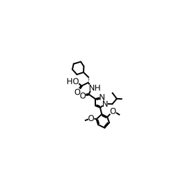 COc1cccc(OC)c1-c1cc(C(=O)N[C@@H](CC2CCCCC2)C(=O)O)nn1CC(C)C